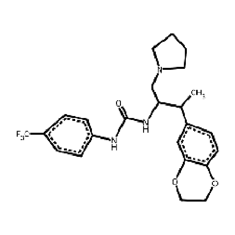 CC(c1ccc2c(c1)OCCO2)C(CN1CCCC1)NC(=O)Nc1ccc(C(F)(F)F)cc1